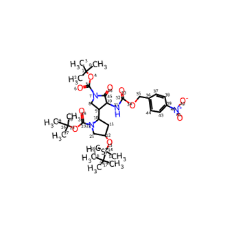 CC(C)(C)OC(=O)N1CC(C2CC(O[Si](C)(C)C(C)(C)C)CN2C(=O)OC(C)(C)C)C(NC(=O)OCc2ccc([N+](=O)[O-])cc2)C1=O